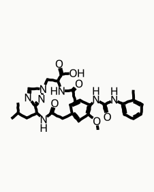 COc1cc(CC(=O)NC(CC(C)C)c2ncn(CC(NC(C)=O)C(=O)O)n2)ccc1NC(=O)Nc1ccccc1C